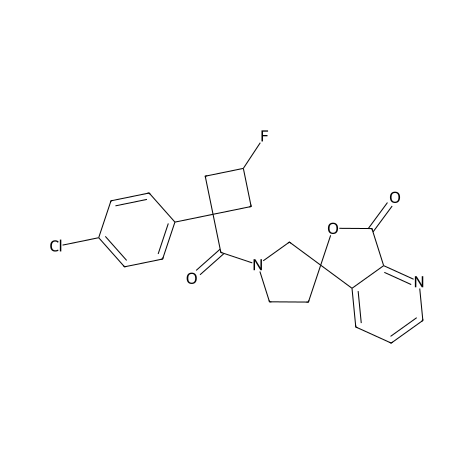 O=C1OC2(CCN(C(=O)C3(c4ccc(Cl)cc4)CC(F)C3)C2)c2cccnc21